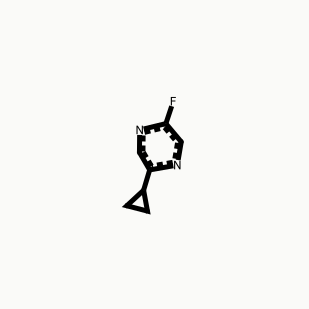 Fc1cnc(C2CC2)cn1